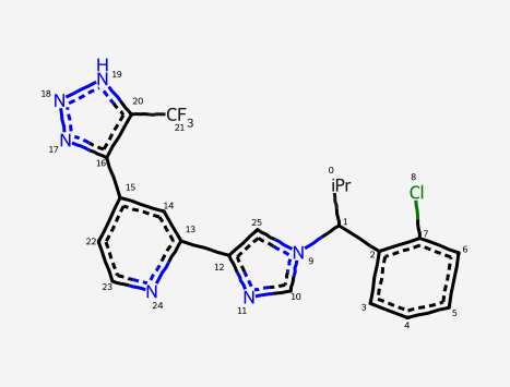 CC(C)C(c1ccccc1Cl)n1cnc(-c2cc(-c3nn[nH]c3C(F)(F)F)ccn2)c1